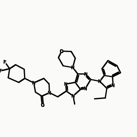 CCc1nc2ccccc2n1-c1nc(N2CCOCC2)c2nc(CN3CCN(C4CCC(F)(F)CC4)CC3=O)n(C)c2n1